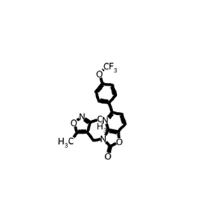 Cc1noc(C)c1Cn1c(=O)oc2ccc(-c3ccc(OC(F)(F)F)cc3)nc21